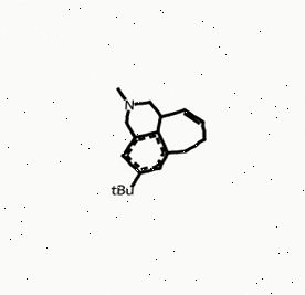 CN1Cc2cc(C(C)(C)C)cc3c2C(C=CCC3)C1